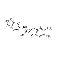 Cc1cc2c(cc1C)O[C@@H](C(=O)Nc1ccc3c(c1)CNS3)C2